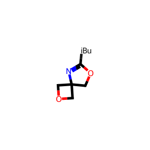 CCC(C)C1=NC2(COC2)CO1